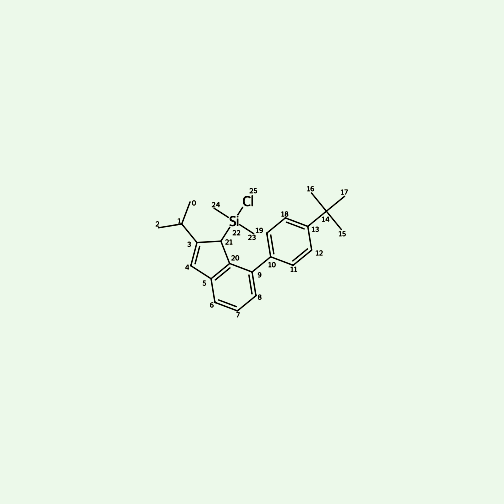 CC(C)C1=Cc2cccc(-c3ccc(C(C)(C)C)cc3)c2C1[Si](C)(C)Cl